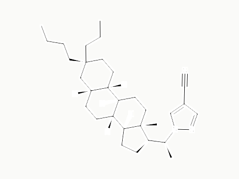 CCCC[C@@]1(CCC)CC[C@H]2[C@H](CC[C@@H]3[C@@H]2CC[C@]2(C)[C@@H]([C@H](C)n4cc(C#N)cn4)CC[C@@H]32)C1